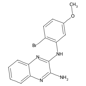 COc1ccc(Br)c(Nc2nc3ccccc3nc2N)c1